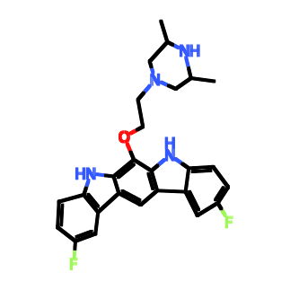 CC1CN(CCOc2c3[nH]c4ccc(F)cc4c3cc3c2[nH]c2ccc(F)cc23)CC(C)N1